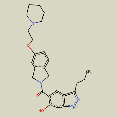 O=C(c1cc2c(CCC(F)(F)F)n[nH]c2cc1O)N1Cc2ccc(OCCN3CCCCC3)cc2C1